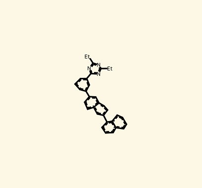 CCc1nc(CC)nc(-c2cccc(-c3ccc4cc(-c5cccc6ccccc56)ccc4c3)c2)n1